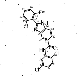 O=C(Nc1cc(Cl)ccc1Cl)c1ccc2[nH]c(-c3c(F)cccc3Cl)nc2c1